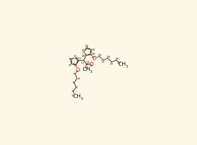 CCCCCCOc1ccsc1C(C(C)=O)c1sccc1OCCCCCC